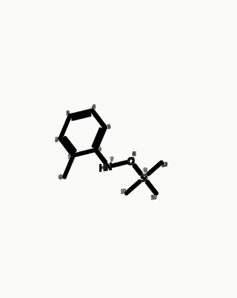 Cc1ccccc1NO[Si](C)(C)C